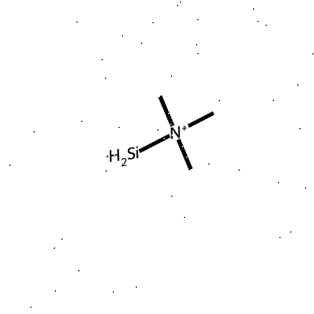 C[N+](C)(C)[SiH2]